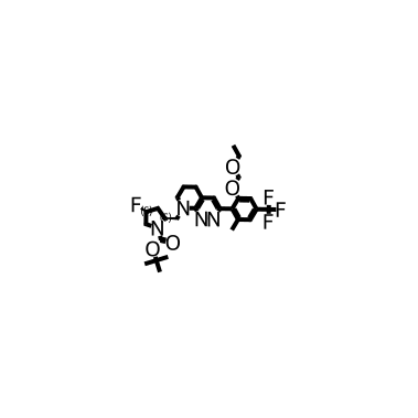 CCOCOc1cc(C(F)(F)F)cc(C)c1-c1cc2c(nn1)N(C[C@@H]1C[C@H](F)CN1C(=O)OC(C)(C)C)CCC2